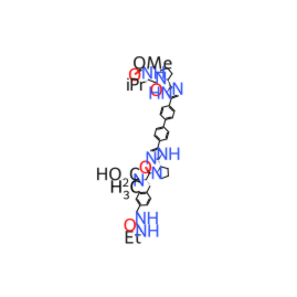 CCNC(=O)NCc1ccc(C[C@@H](C(=O)N2CCC[C@H]2c2ncc(-c3ccc(-c4ccc(-c5cnc([C@@H]6CCCN6C(=O)[C@@H](NC(=O)OC)C(C)C)[nH]5)cc4)cc3)[nH]2)N(C)C(=O)O)cc1